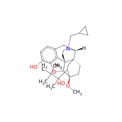 CO[C@]12CC[C@@]3(C[C@@H]1C(C)(O)C(C)(C)C)[C@H]1Cc4ccc(O)c5c4[C@@]3(CCN1CC1CC1)C2O5